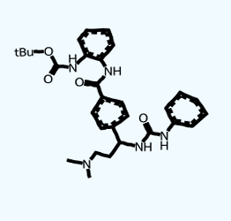 CN(C)CCC(NC(=O)Nc1ccccc1)c1ccc(C(=O)Nc2ccccc2NC(=O)OC(C)(C)C)cc1